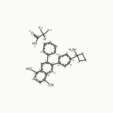 N#Cc1cnc(O)c2cc(-c3ccccc3)c(-c3ccc(C4(N)CCC4)cc3)nc12.O=C(O)C(F)(F)F